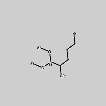 CCCC(CCCBr)[SiH](OCC)OCC